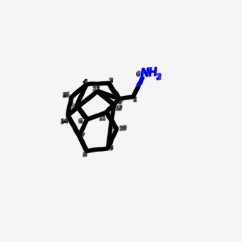 NCC12CC3CC4C5CC(CC41)CC2C5C3